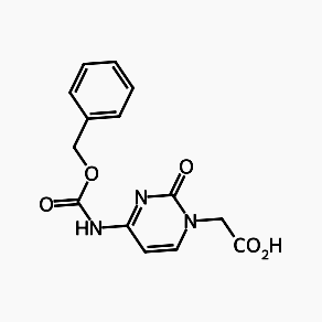 O=C(O)Cn1ccc(NC(=O)OCc2ccccc2)nc1=O